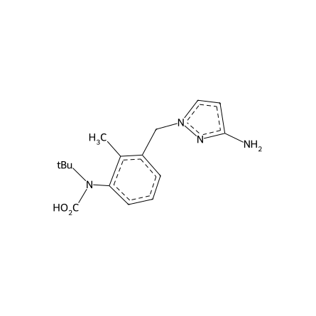 Cc1c(Cn2ccc(N)n2)cccc1N(C(=O)O)C(C)(C)C